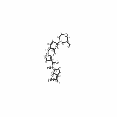 CCC1COCCN(c2ccc(Cn3cc(C(=O)N[C@@H]4CCc5c4n[nH]c5C)cn3)c(C)n2)C1